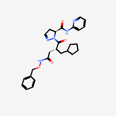 O=C(C[C@@H](CC1CCCC1)C(=O)N1N=CC[C@H]1C(=O)Nc1ccccn1)NOCc1ccccc1